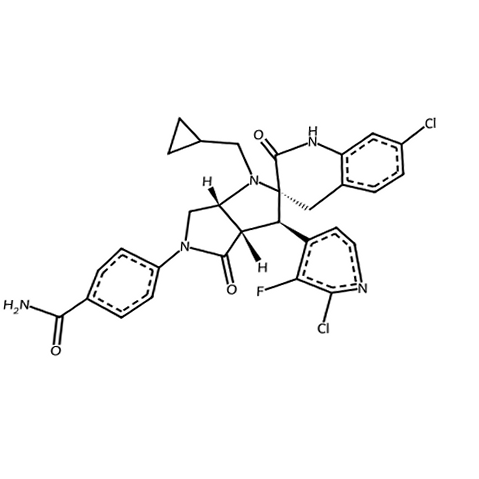 NC(=O)c1ccc(N2C[C@H]3[C@@H](C2=O)[C@H](c2ccnc(Cl)c2F)[C@@]2(Cc4ccc(Cl)cc4NC2=O)N3CC2CC2)cc1